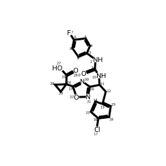 O=C(Nc1ccc(F)cc1)NC(Cc1ccc(Cl)cc1)c1noc(C2(C(=O)O)CC2)n1